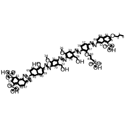 CCCOc1cc(S(=O)(=O)O)c2cc(N=Nc3ccc(N=Nc4cc(OC)c(N=Nc5cc(OC)c(N=Nc6ccc7cc(-n8nc9ccc%10c(S(=O)(=O)O)cc(S(=O)(=O)O)cc%10c9n8)ccc7c6O)cc5CO)cc4CO)c(OCCCS(=O)(=O)O)c3)ccc2c1